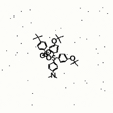 CN(C)c1ccc(S(OS(=O)(=O)c2ccc(C(C)(C)C)cc2)(c2ccc(OC(C)(C)C)cc2)c2ccc(OC(C)(C)C)cc2)cc1